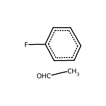 CC=O.Fc1ccccc1